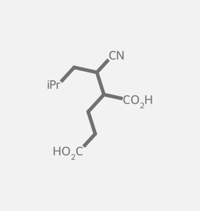 CC(C)CC(C#N)C(CCC(=O)O)C(=O)O